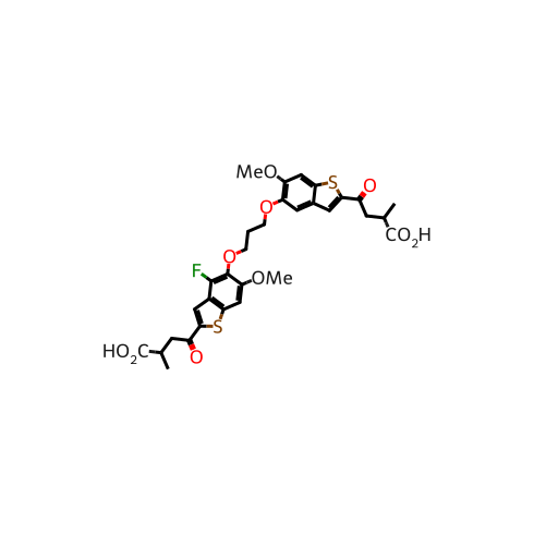 COc1cc2sc(C(=O)CC(C)C(=O)O)cc2cc1OCCCOc1c(OC)cc2sc(C(=O)CC(C)C(=O)O)cc2c1F